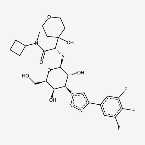 CN(C(=O)[C@@H](S[C@@H]1O[C@H](CO)[C@H](O)[C@H](n2cc(-c3cc(F)c(F)c(F)c3)nn2)[C@H]1O)C1(O)CCOCC1)C1CCC1